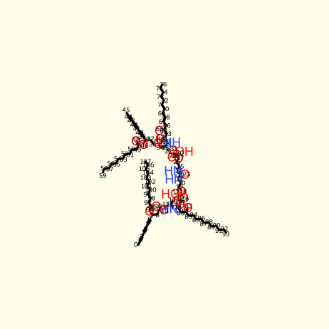 CC#CC#CC#C[C@H](CCOC[C@H](COP(=O)(O)OCCNC(=O)NCCOP(=O)(O)OC[C@@H](COCC[C@@H](C#CC#CC#CC)OC(=O)CCCCCCCCCCC)NC(=O)CC(=O)CCCCCCCCCCC)NC(=O)CC(=O)CCCCCCCCCCC)OC(=O)CCCCCCCCCCC